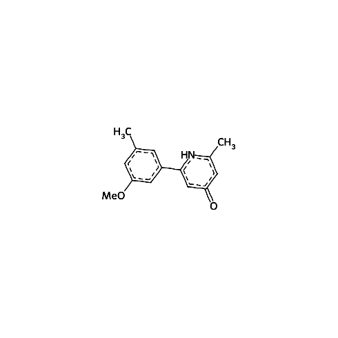 COc1cc(C)cc(-c2cc(=O)cc(C)[nH]2)c1